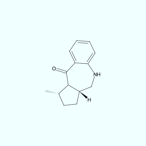 C[C@H]1CC[C@H]2CNc3ccccc3C(=O)C21